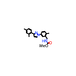 COC(=O)NCc1cc(-n2ccc(-c3ccc(C)cc3C)n2)ccc1C